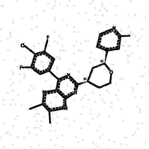 Cc1cc([C@H]2C[C@@H](c3nc(-c4cc(F)c(Cl)c(F)c4)c4nc(C)c(C)nc4n3)CCO2)ccn1